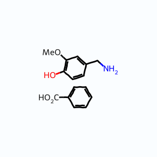 COc1cc(CN)ccc1O.O=C(O)c1ccccc1